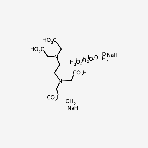 O.O.O.O.O.O.O=C(O)CN(CCN(CC(=O)O)CC(=O)O)CC(=O)O.[NaH].[NaH]